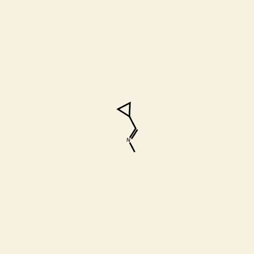 CN=C[C]1CC1